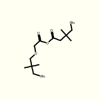 CC(C)(C)CC(C)(C)COCC(=O)OC(=O)CC(C)(C)CC(C)(C)C